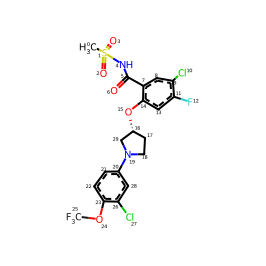 CS(=O)(=O)NC(=O)c1cc(Cl)c(F)cc1O[C@@H]1CCN(c2ccc(OC(F)(F)F)c(Cl)c2)C1